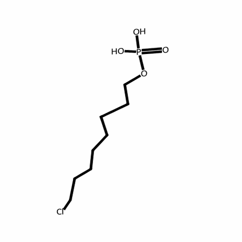 O=P(O)(O)OCCCCCCCCCl